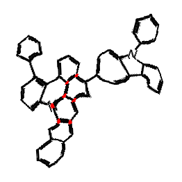 c1ccc(-c2ccccc2-c2c(-c3ccccc3)cccc2N(c2ccc(-c3ccc4c(c3)c3ccccc3n4-c3ccccc3)cc2)c2ccc3ccccc3c2)cc1